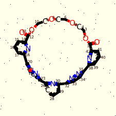 O=C1OCCOCCOCCOC(=O)c2cccc(n2)-c2ccc(nn2)-c2cccc(n2)-c2ccc(nn2)-c2cccc1n2